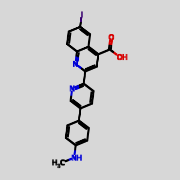 CNc1ccc(-c2ccc(-c3cc(C(=O)O)c4cc(I)ccc4n3)nc2)cc1